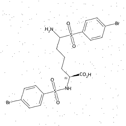 NC(CCC[C@H](NS(=O)(=O)c1ccc(Br)cc1)C(=O)O)S(=O)(=O)c1ccc(Br)cc1